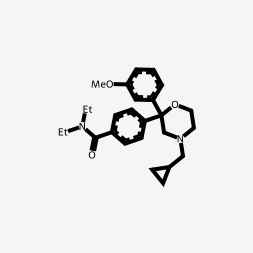 CCN(CC)C(=O)c1ccc(C2(c3cccc(OC)c3)CN(CC3CC3)CCO2)cc1